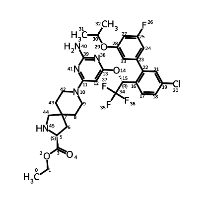 CCOC(=O)[C@@H]1CC2(CCN(c3cc(O[C@H](c4ccc(Cl)cc4-c4cc(F)cc(OC(C)C)c4)C(F)(F)F)nc(N)n3)CC2)CN1